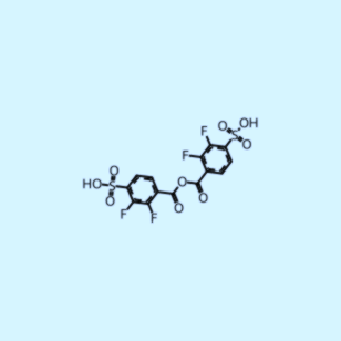 O=C(OC(=O)c1ccc(S(=O)(=O)O)c(F)c1F)c1ccc(S(=O)(=O)O)c(F)c1F